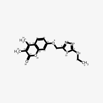 CCOc1nnc(COc2ccc3c(C)c(C)c(=O)oc3c2)s1